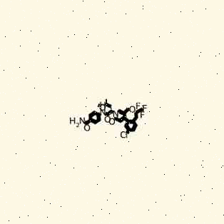 CO[C@@H](C)C[C@@H](C(=O)Nc1ccc(C(N)=O)cc1)n1cc2c(cc1=O)-c1cc(Cl)ccc1CC(C(F)(F)F)OC2